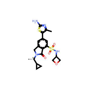 Cc1nc(N)sc1-c1cc2c(c(S(=O)(=O)NC3COC3)c1)C(=O)N([C@@H](C)C1CC1)C2